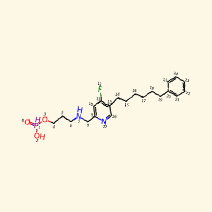 O=[PH](O)OCCCNCc1cc(F)c(CCCCCCc2ccccc2)cn1